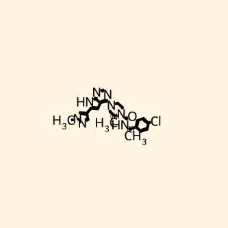 C[C@H](NC(=O)N1CCN(c2ncnc3[nH]c(-c4cnn(C)c4)cc23)C[C@H]1C)c1ccc(Cl)cc1